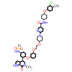 CCS(=O)(=O)Nc1ccc(Oc2cccc(OCCOC3CCN(c4ccc(C(=O)N[C@H]5CC[C@H](Oc6ccc(C#N)c(Cl)c6)CC5)cn4)CC3)c2)c(-c2cn(C)c(=O)c3[nH]ccc23)c1